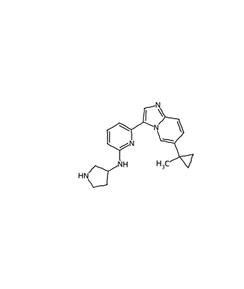 CC1(c2ccc3ncc(-c4cccc(NC5CCNC5)n4)n3c2)CC1